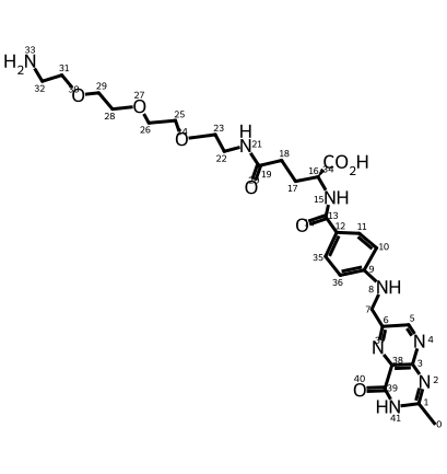 Cc1nc2ncc(CNc3ccc(C(=O)N[C@@H](CCC(=O)NCCOCCOCCOCCN)C(=O)O)cc3)nc2c(=O)[nH]1